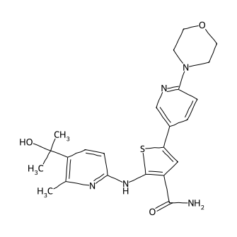 Cc1nc(Nc2sc(-c3ccc(N4CCOCC4)nc3)cc2C(N)=O)ccc1C(C)(C)O